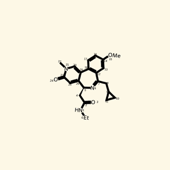 CCNC(=O)C[C@@H]1N=C(CC2CC2)c2cc(OC)ccc2-c2cn(C)c(=O)cc21